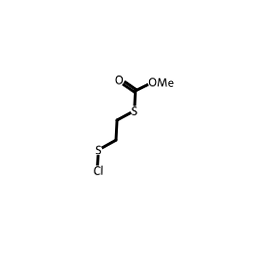 COC(=O)SCCSCl